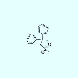 CC(CS(C)(=O)=O)(c1ccccc1)c1ccccc1